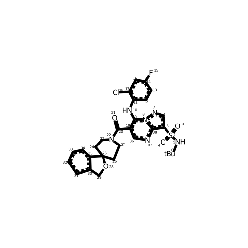 CC(C)(C)NS(=O)(=O)c1cnn2c(Nc3ccc(F)cc3Cl)c(C(=O)N3CCC4(CC3)OCc3ccccc34)cnc12